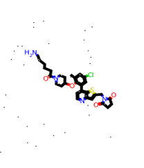 Cc1cc(Cl)cc(-c2ccnc3cc(CN4C(=O)CCC4=O)sc23)c1OC1CCN(C(=O)CCCCCN)CC1